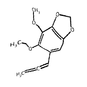 C=C=Cc1cc2c(c(OC)c1OC)OCO2